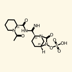 CC(=O)N1CCCC[C@H]1C(=O)NC(=N)[C@@H]1CC[C@@H]2CN1C(=O)N2OS(=O)(=O)O